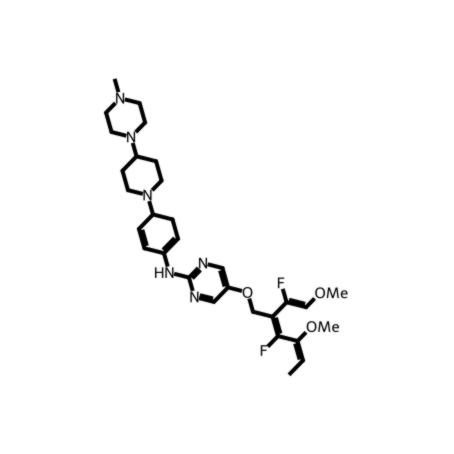 C\C=C(OC)/C(F)=C(COc1cnc(NC2=CCC(N3CCC(N4CCN(C)CC4)CC3)C=C2)nc1)\C(F)=C\OC